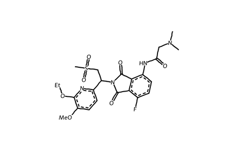 CCOc1nc(C(CS(C)(=O)=O)N2C(=O)c3c(F)ccc(NC(=O)CN(C)C)c3C2=O)ccc1OC